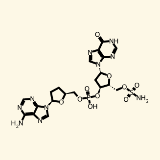 Nc1ncnc2c1ncn2[C@H]1CC[C@@H](COP(=O)(O)O[C@H]2C[C@H](n3cnc4c(=O)[nH]cnc43)O[C@@H]2COS(N)(=O)=O)O1